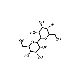 OC[C@H]1OC([C]2O[C@H](CO)[C@@H](O)[C@H](O)[C@H]2O)[C@H](O)[C@@H](O)[C@H]1O